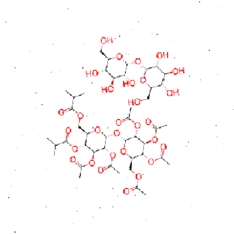 CC(=O)OC[C@H]1O[C@H](O[C@H]2O[C@H](COC(=O)C(C)C)[C@@H](OC(=O)C(C)C)[C@H](OC(C)=O)[C@H]2OC(C)=O)[C@H](OC(C)=O)[C@@H](OC(C)=O)[C@@H]1OC(C)=O.OC[C@H]1O[C@H](O[C@H]2O[C@H](CO)[C@@H](O)[C@H](O)[C@H]2O)[C@H](O)[C@@H](O)[C@@H]1O